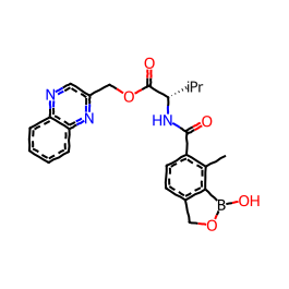 Cc1c(C(=O)N[C@H](C(=O)OCc2cnc3ccccc3n2)C(C)C)ccc2c1B(O)OC2